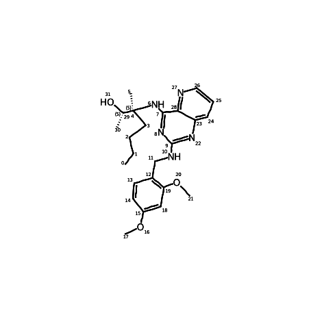 CCCC[C@](C)(Nc1nc(NCc2ccc(OC)cc2OC)nc2cccnc12)[C@H](C)O